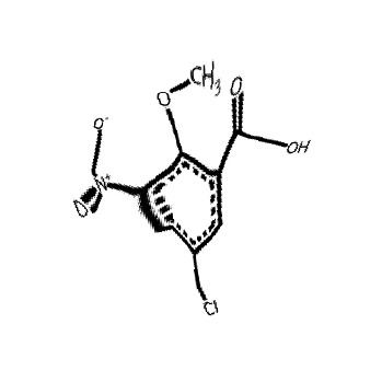 COc1c(C(=O)O)cc(Cl)cc1[N+](=O)[O-]